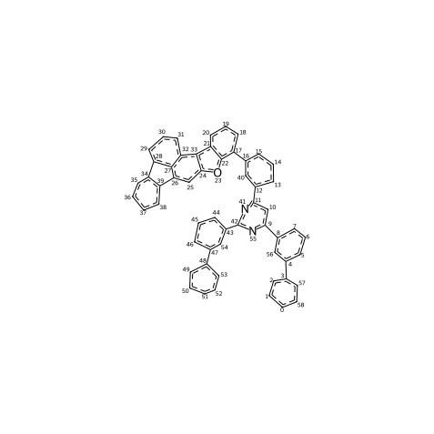 c1ccc(-c2cccc(-c3cc(-c4cccc(-c5cccc6c5oc5cc7c8c(cccc8c56)-c5ccccc5-7)c4)nc(-c4cccc(-c5ccccc5)c4)n3)c2)cc1